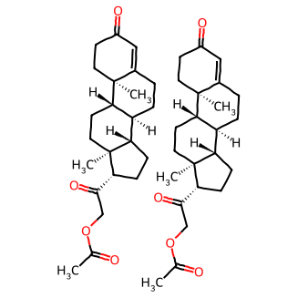 CC(=O)OCC(=O)[C@H]1CC[C@H]2[C@@H]3CCC4=CC(=O)CC[C@]4(C)[C@H]3CC[C@]12C.CC(=O)OCC(=O)[C@H]1CC[C@H]2[C@@H]3CCC4=CC(=O)CC[C@]4(C)[C@H]3CC[C@]12C